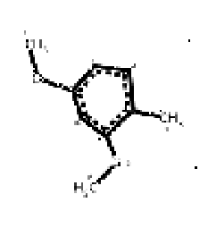 COc1ccc(C)c(SC)c1